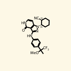 COC(C)(c1ccc(Nc2nn([C@H]3CCCC[C@@H]3C#N)c3cc[nH]c(=O)c23)cc1)C(F)(F)F